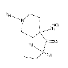 Cl.[2H]N1CCC([2H])(C(=O)C([2H])([2H])CC)CC1